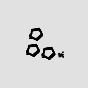 [In].c1ccsc1.c1ccsc1.c1ccsc1